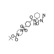 CN(C#N)C(=O)C1(NC(=O)c2ccc(S(=O)(=O)N3CCN(C(=O)OC(C)(C)C)CC3)cc2)CCCCC1